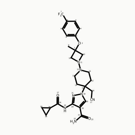 CC1(Oc2ccc(C(F)(F)F)cc2)CN(N2CCC(CC#N)(n3cc(C(N)=O)c(NC(=O)C4CC4)n3)CC2)C1